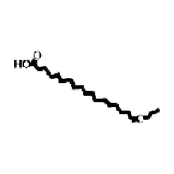 CCC=C=CCCC/C=C/C/C=C/C/C=C/C/C=C/CCC(=O)O